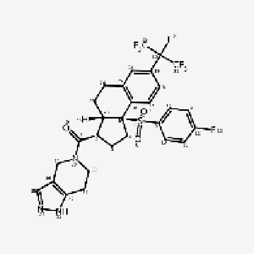 O=C([C@@H]1CC[C@@]2(S(=O)(=O)c3ccc(F)cc3)c3ccc(C(F)(C(F)(F)F)C(F)(F)F)cc3CC[C@@H]12)N1CCc2[nH]ncc2C1